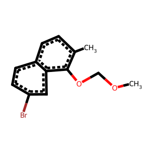 COCOc1c(C)ccc2ccc(Br)cc12